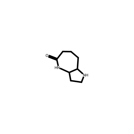 O=C1CCCC2NCCC2N1